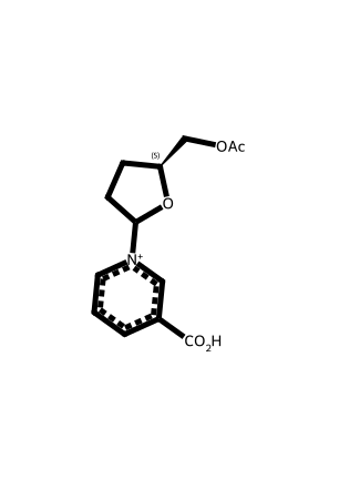 CC(=O)OC[C@@H]1CCC([n+]2cccc(C(=O)O)c2)O1